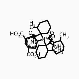 CC1CCCCC1C(=O)[N+](c1cc(C(=O)O)cc(C(=O)O)c1)(C1(C(N)=O)CCCCC1C)C1(C(N)=O)CCCCC1C